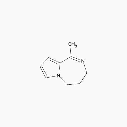 CC1=NCCCn2cccc21